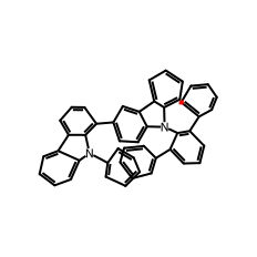 c1ccc(-c2cccc(-c3ccccc3)c2-n2c3ccccc3c3cc(-c4cccc5c6ccccc6n(-c6ccccc6)c45)ccc32)cc1